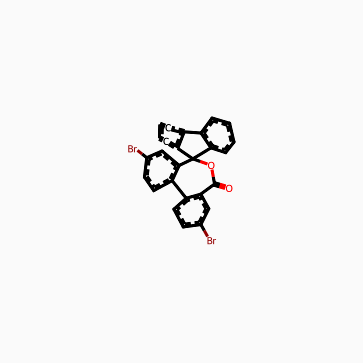 O=C1OC2(c3cc(Br)ccc3-c3ccc(Br)cc31)c1ccccc1-c1ccccc12